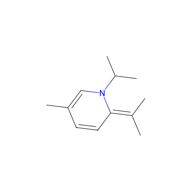 CC1=CN(C(C)C)C(=C(C)C)C=C1